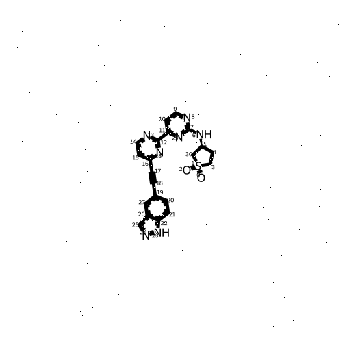 O=S1(=O)CC[C@H](Nc2nccc(-c3nccc(C#Cc4ccc5[nH]ncc5c4)n3)n2)C1